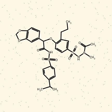 CCCc1cc(S(=O)(=O)NN(C)C(C)=O)ccc1OC(C(=O)NS(=O)(=O)c1ccc(C(C)C)cc1)c1ccc2c(c1)OCO2